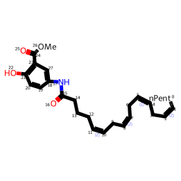 CCCCC/C=C\C/C=C\C/C=C\C/C=C\CCCC(=O)Nc1ccc(O)c(C(=O)OC)c1